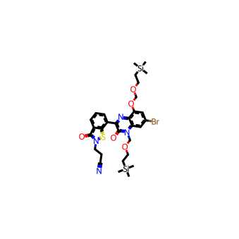 C[Si](C)(C)CCOCOc1cc(Br)cc2c1nc(-c1cccc3c(=O)n(CCC#N)sc13)c(=O)n2COCC[Si](C)(C)C